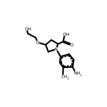 Cc1cc(N2CC(OCCO)CC2C(=O)O)ccc1N